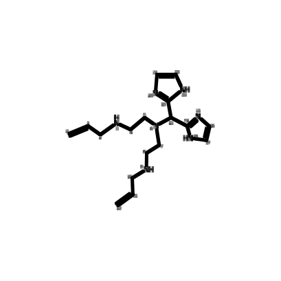 C=CCNCCN(CCNCC=C)C(c1ncc[nH]1)c1ncc[nH]1